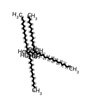 CCCCCCCCCCCCCCCCC(O)[C@](O)(CCCCCCCCCCCCCCCC)[C@@H](O)[C@H](O)[C@@](O)(CCCCCCCCCCCCCCCC)C(O)CCCCCCCCCCCCCCCC